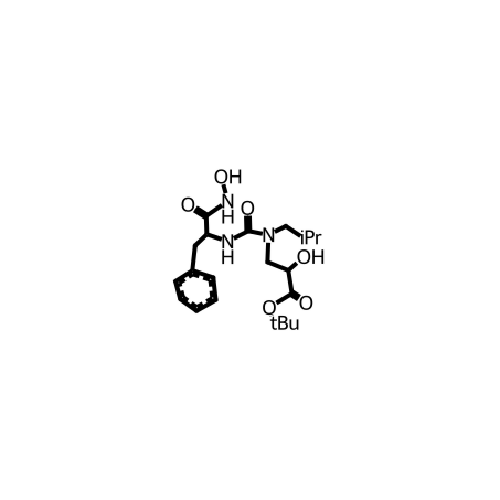 CC(C)CN(CC(O)C(=O)OC(C)(C)C)C(=O)NC(Cc1ccccc1)C(=O)NO